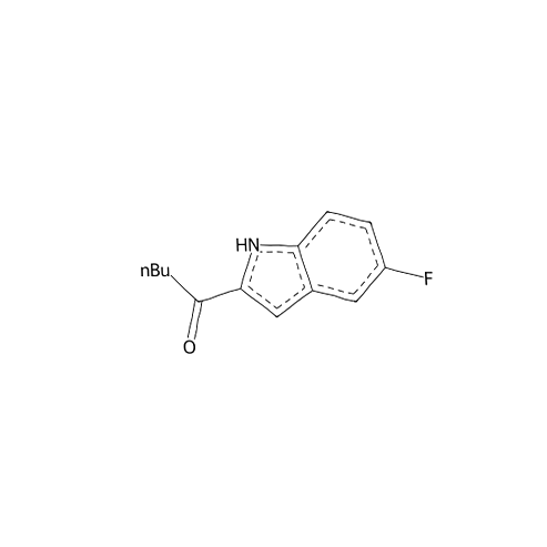 CCCCC(=O)c1cc2cc(F)ccc2[nH]1